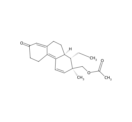 CC[C@H]1[C@@H]2CCC3=CC(=O)CCC3=C2C=C[C@]1(C)COC(C)=O